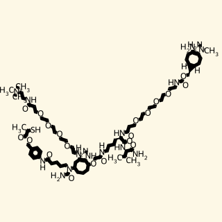 CC(S)C(=O)OCc1ccc(NC(=O)CCCCN(C(N)=O)C2CCCC(OCC(=O)NCCCC[C@@H](NC(=O)CCOCCOCCOCCOCCNC(=O)OC[C@@H]3[C@@H]4CC/C(N(C)N)=C(/N)CC[C@@H]43)C(=O)N[C@H](C(N)=O)C(C)C)/C(NN)=C(/NCCOCCOCCOCCOCCC(=O)NCC[N+](C)(C)C)C2)cc1